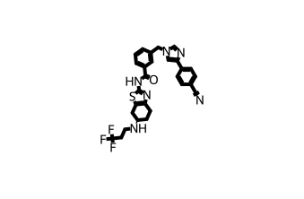 N#Cc1ccc(-c2cn(Cc3cccc(C(=O)Nc4nc5c(s4)C[C@@H](NCCC(F)(F)F)CC5)c3)cn2)cc1